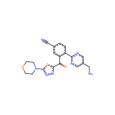 N#Cc1ccc(-c2ncc(CN)cn2)c(C(=O)c2nnc(N3CCOCC3)s2)c1